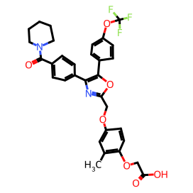 Cc1cc(OCc2nc(-c3ccc(C(=O)N4CCCCC4)cc3)c(-c3ccc(OC(F)(F)F)cc3)o2)ccc1OCC(=O)O